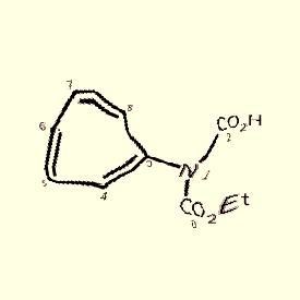 CCOC(=O)N(C(=O)O)c1cc[c]cc1